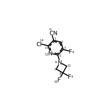 N#Cc1cc(F)c(N2CC(F)(F)C2)nc1Cl